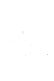 C=C/C=C\C(CC)N1N=C(C)/C(=C/C(C(=C)C)=C(\O)N(N)C2C=CCCC2)C1O